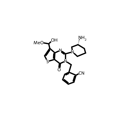 COC(O)c1csc2c(=O)n(Cc3ccccc3C#N)c(N3CCC[C@@H](N)C3)nc12